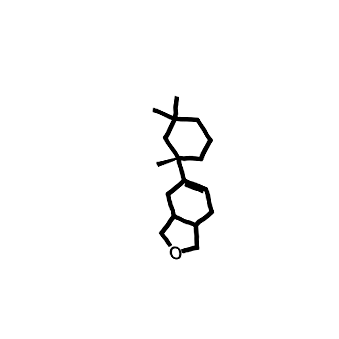 CC1(C)CCC[C@](C)(C2=CCC3COCC3C2)C1